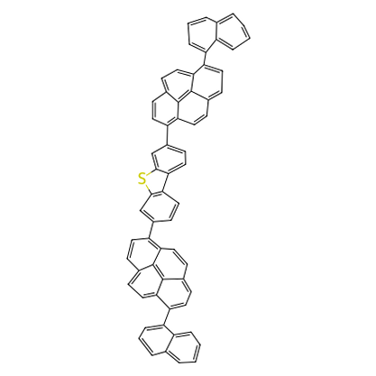 c1ccc2c(-c3ccc4ccc5c(-c6ccc7c(c6)sc6cc(-c8ccc9ccc%10c(-c%11cccc%12ccccc%11%12)ccc%11ccc8c9c%11%10)ccc67)ccc6ccc3c4c65)cccc2c1